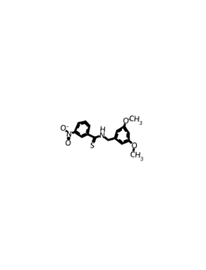 COc1cc(CNC(=S)c2cccc([N+](=O)[O-])c2)cc(OC)c1